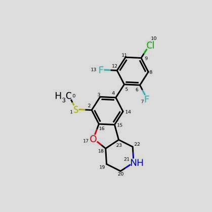 CSc1cc(-c2c(F)cc(Cl)cc2F)cc2c1OC1CCNCC21